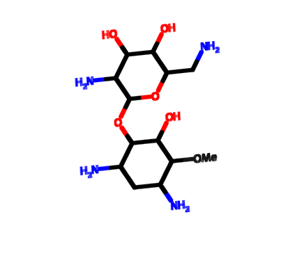 COC1C(N)CC(N)C(OC2OC(CN)C(O)C(O)C2N)C1O